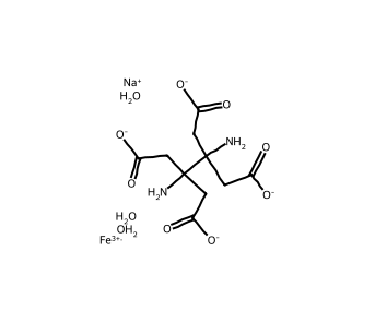 NC(CC(=O)[O-])(CC(=O)[O-])C(N)(CC(=O)[O-])CC(=O)[O-].O.O.O.[Fe+3].[Na+]